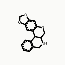 c1ccc2c(c1)CNC1COc3cc4c(cc3C21)OCO4